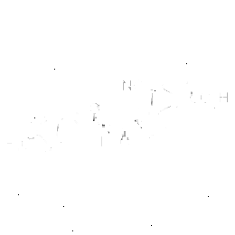 N#Cc1cc(CC(=O)O)cc2c1CN(C(=O)CNC(=O)/C=C/c1ccc(C(F)(F)F)cc1)CC2